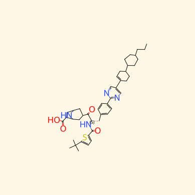 CCCC1CCC(C2CC=C(c3cnc(-c4ccc(C[C@H](NC(=O)c5ccc(C(C)(C)C)s5)C(=O)C5CC6CC(C(=O)O)C(C5)N6)cc4)nc3)CC2)CC1